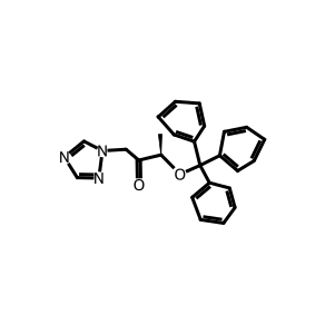 C[C@@H](OC(c1ccccc1)(c1ccccc1)c1ccccc1)C(=O)Cn1cncn1